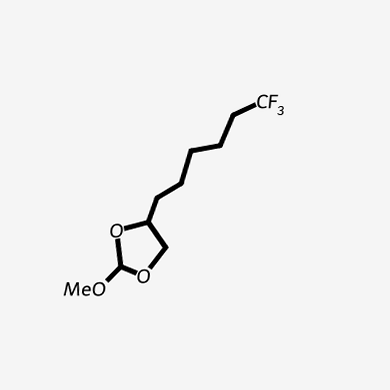 COC1OCC(CCCCCC(F)(F)F)O1